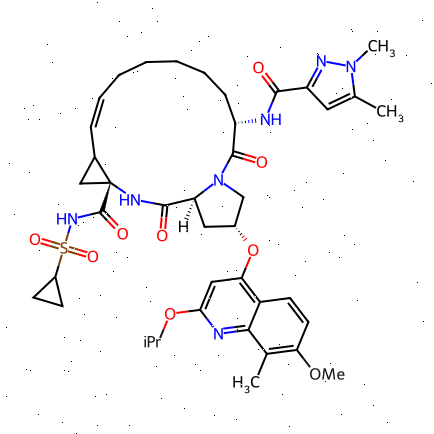 COc1ccc2c(O[C@@H]3C[C@H]4C(=O)N[C@]5(C(=O)NS(=O)(=O)C6CC6)CC5/C=C\CCCCC[C@H](NC(=O)c5cc(C)n(C)n5)C(=O)N4C3)cc(OC(C)C)nc2c1C